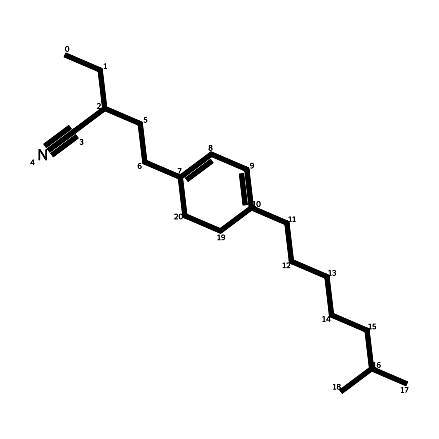 CCC(C#N)CCC1=CC=C(CCCCCC(C)C)CC1